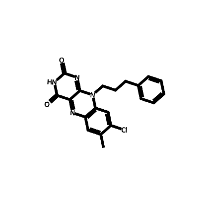 Cc1cc2nc3c(=O)[nH]c(=O)nc-3n(CCCc3ccccc3)c2cc1Cl